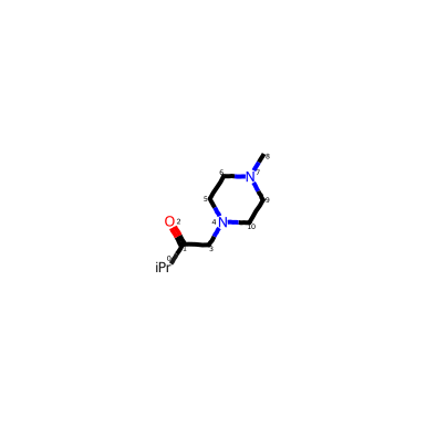 CC(C)C(=O)CN1CCN(C)CC1